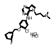 CN(C)CCCn1ccc2ncnc(Nc3ccc(OCc4cccc(F)c4)c(Cl)c3)c21.Cl.Cl